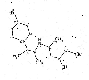 CC(CC(C)OC(C)(C)C)NC(C)C(C)N1CCN(C(C)(C)C)CC1